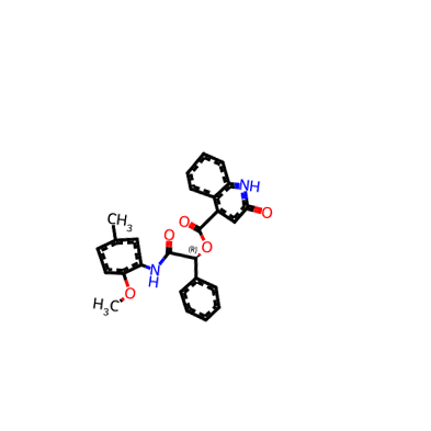 COc1ccc(C)cc1NC(=O)[C@H](OC(=O)c1cc(=O)[nH]c2ccccc12)c1ccccc1